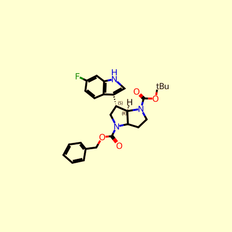 CC(C)(C)OC(=O)N1CCC2[C@H]1[C@@H](c1c[nH]c3cc(F)ccc13)CN2C(=O)OCc1ccccc1